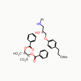 COCCc1ccc(OC[C@H](O)CNC(C)C)cc1.O=C(O[C@H](C(=O)O)[C@@H](OC(=O)c1ccccc1)C(=O)O)c1ccccc1